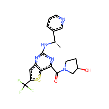 C[C@H](Nc1nc(C(=O)N2CC[C@@H](O)C2)c2sc(C(F)(F)F)cc2n1)c1cccnc1